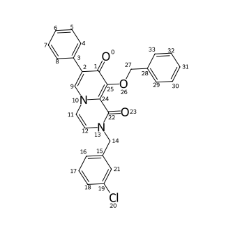 O=c1c(-c2ccccc2)cn2ccn(Cc3cccc(Cl)c3)c(=O)c2c1OCc1ccccc1